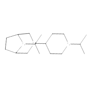 CC(C)N1CCC(N2CC3CCC(C2)N3C(C)C)CC1